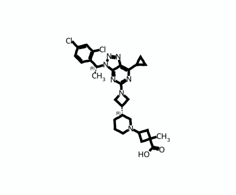 C[C@H](c1ccc(Cl)cc1Cl)n1nnc2c(C3CC3)nc(N3CC([C@H]4CCCN(C5CC(C)(C(=O)O)C5)C4)C3)nc21